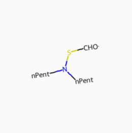 CCCCCN(CCCCC)S[C]=O